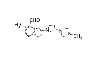 Cc1ccc2ccc(N3CCC(N4CCN(C)CC4)C3)cc2c1C=O